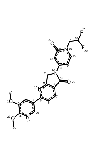 COc1cc(-c2ccc3c(n2)CN(c2ccn(CC(F)F)c(=O)c2)C3=O)cnc1OC